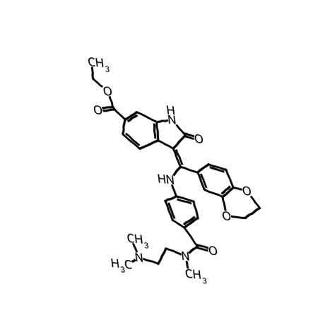 CCOC(=O)c1ccc2c(c1)NC(=O)C2=C(Nc1ccc(C(=O)N(C)CCN(C)C)cc1)c1ccc2c(c1)OCCO2